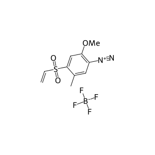 C=CS(=O)(=O)c1cc(OC)c([N+]#N)cc1C.F[B-](F)(F)F